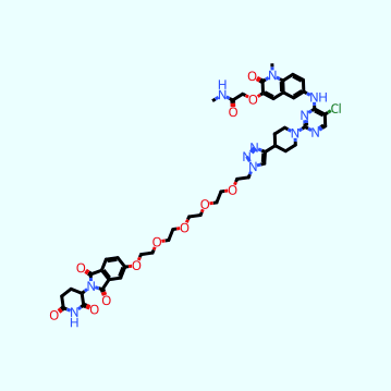 CNC(=O)COc1cc2cc(Nc3nc(N4CCC(c5cn(CCOCCOCCOCCOCCOc6ccc7c(c6)C(=O)N(C6CCC(=O)NC6=O)C7=O)nn5)CC4)ncc3Cl)ccc2n(C)c1=O